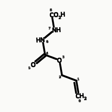 C=CCOC(=O)NNC(=O)O